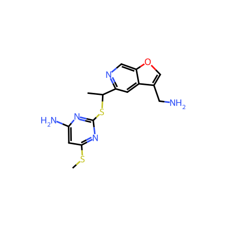 CSc1cc(N)nc(SC(C)c2cc3c(CN)coc3cn2)n1